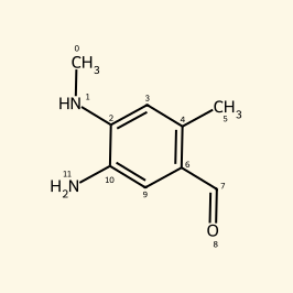 CNc1cc(C)c(C=O)cc1N